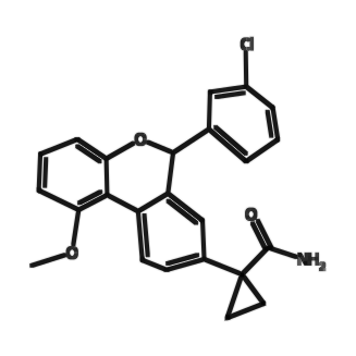 COc1cccc2c1-c1ccc(C3(C(N)=O)CC3)cc1C(c1cccc(Cl)c1)O2